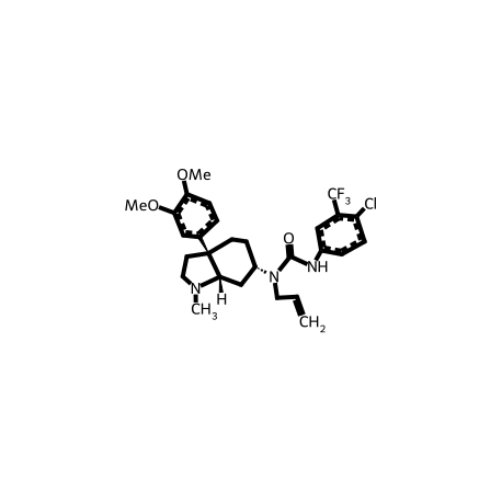 C=CCN(C(=O)Nc1ccc(Cl)c(C(F)(F)F)c1)[C@H]1CC[C@@]2(c3ccc(OC)c(OC)c3)CCN(C)[C@H]2C1